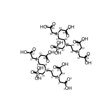 O=C(O)CN(CCN(CCN(CC(=O)O)CC(=O)O)CP(=O)(O)O)CC(=O)O.O=C(O)CN(CCN(CCN(CC(=O)O)CC(=O)O)CP(=O)(O)O)CC(=O)O